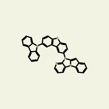 c1ccc2c(c1)cc1n(-c3ccc4sc5ccc(-n6c7ccccc7c7ccccc76)cc5c4c3)c3ncccc3n21